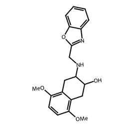 COc1ccc(OC)c2c1CC(O)C(NCc1nc3ccccc3o1)C2